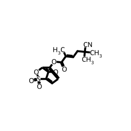 C/C(=C\CC(C)(C)C#N)C(=O)Oc1c2c3oc1cc3S(=O)(=O)O2